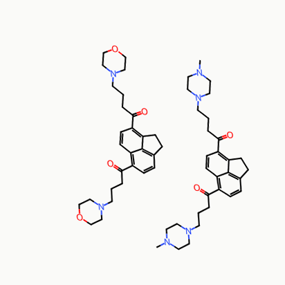 CN1CCN(CCCC(=O)c2ccc3c(C(=O)CCCN4CCN(C)CC4)ccc4c3c2CC4)CC1.O=C(CCCN1CCOCC1)c1ccc2c(C(=O)CCCN3CCOCC3)ccc3c2c1CC3